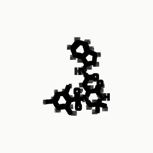 Cc1cc(C)c(S(=O)(=O)N2CC(C)(C)NC(=O)C2CC(=O)N[C@@H]2CCc3ccccc32)c(C)c1